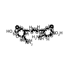 N=C(N)NCCC[C@H]1NC(=O)C(CCCCNC(=O)C(N)CCC(=O)NCCCC[C@H]2NC(=O)[C@H](Cc3ccccc3)NC(=O)[C@@H](CC(=O)O)NC(=O)CNC(=O)[C@@H](CCCNC(=N)N)NC2=O)NC(=O)[C@H](Cc2ccccc2)NC(=O)[C@@H](CC(=O)O)NC(=O)CNC1=O